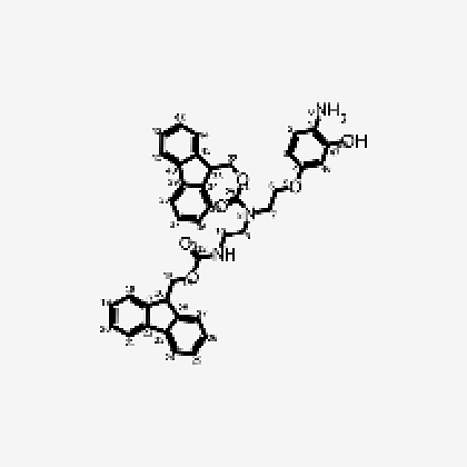 Nc1ccc(OCCN(CCNC(=O)OCC2c3ccccc3-c3ccccc32)C(=O)OCC2c3ccccc3-c3ccccc32)cc1O